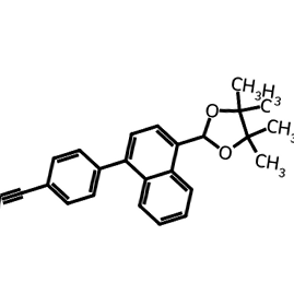 CC1(C)OC(c2ccc(-c3ccc(C#N)cc3)c3ccccc23)OC1(C)C